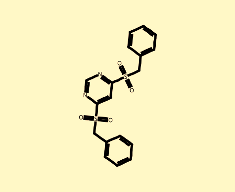 O=S(=O)(Cc1ccccc1)c1cc(S(=O)(=O)Cc2ccccc2)ncn1